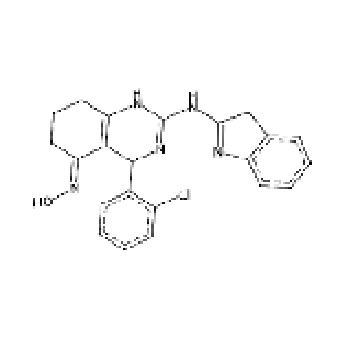 O/N=C1\CCCC2=C1C(c1ccccc1Cl)N=C(NC1=Nc3ccccc3C1)N2